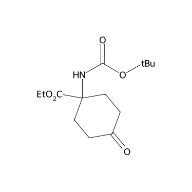 CCOC(=O)C1(NC(=O)OC(C)(C)C)CCC(=O)CC1